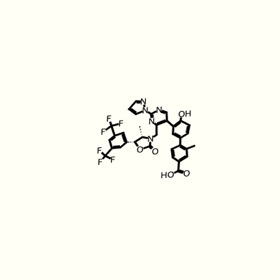 Cc1cc(C(=O)O)ccc1-c1ccc(O)c(-c2cnc(-n3cccn3)nc2CN2C(=O)O[C@H](c3cc(C(F)(F)F)cc(C(F)(F)F)c3)[C@@H]2C)c1